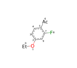 CCOc1ccc(C(C)=O)c(F)c1